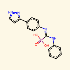 O=P(O)(O)C(=Nc1ccc(-c2cc[nH]n2)cc1)Nc1ccccc1